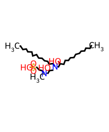 CCCCCCCCCCCCC(O)CN(CCCN(C)CCCS(=O)(=O)O)CC(O)CCCCCCCCCCCC